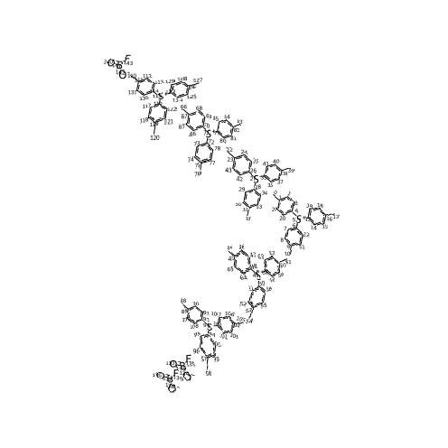 Cc1ccc([S+](c2ccc(C)cc2)c2ccc(C)cc2)cc1.Cc1ccc([S+](c2ccc(C)cc2)c2ccc(C)cc2)cc1.Cc1ccc([S+](c2ccc(C)cc2)c2ccc(C)cc2)cc1.Cc1ccc([S+](c2ccc(C)cc2)c2ccc(C)cc2)cc1.Cc1ccc([S+](c2ccc(C)cc2)c2ccc(C)cc2)cc1.Cc1ccc([S+](c2ccc(C)cc2)c2ccc(C)cc2)cc1.[O-]B([O-])F.[O-]B([O-])F.[O-]B([O-])F